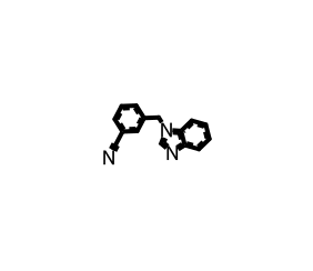 N#Cc1cccc(Cn2cnc3ccccc32)c1